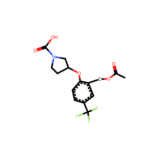 CC(=O)OCc1cc(C(F)(F)F)ccc1OC1CCN(C(=O)O)C1